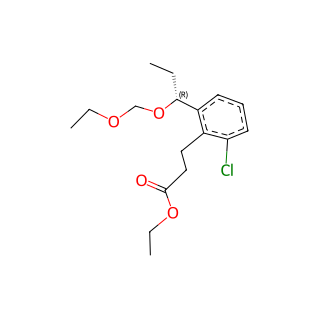 CCOCO[C@H](CC)c1cccc(Cl)c1CCC(=O)OCC